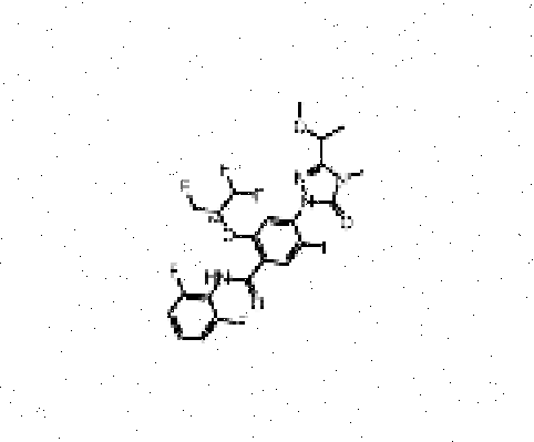 COC(C)c1nn(-c2cc(O[C@@H](CF)C(F)F)c(C(=O)Nc3c(F)cccc3F)cc2F)c(=O)n1C